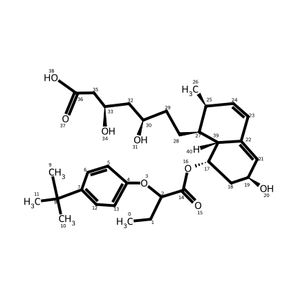 CCC(Oc1ccc(C(C)(C)C)cc1)C(=O)O[C@H]1C[C@H](O)C=C2C=C[C@H](C)[C@H](CC[C@@H](O)C[C@@H](O)CC(=O)O)[C@H]21